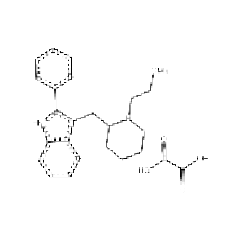 COCCN1CCCCC1Cc1c(-c2ccccc2)[nH]c2ccccc12.O=C(O)C(=O)O